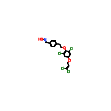 ON=Cc1ccc(CCOc2c(Cl)cc(OCC=C(Cl)Cl)cc2Cl)cc1